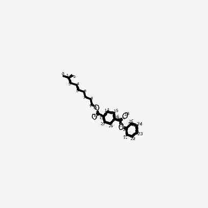 CC(C)CCCCCCCOC(=O)C1CCC(C(=O)OC2CCCCC2)CC1